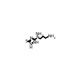 NCCCN(N)c1nc(=S)[nH][nH]1